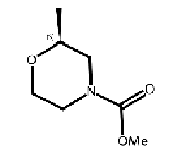 COC(=O)N1CCO[C@@H](C)C1